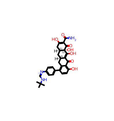 CC(C)(C)N/C=N\c1ccc(-c2ccc(O)c3c2C[C@H]2C[C@H]4CC(O)=C(C(N)=O)C(=O)[C@@]4(O)C(O)=C2C3=O)cc1